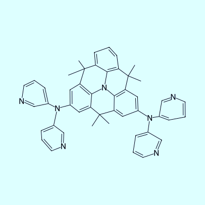 CC1(C)c2cccc3c2N2c4c1cc(N(c1cccnc1)c1cccnc1)cc4C(C)(C)c1cc(N(c4cccnc4)c4cccnc4)cc(c12)C3(C)C